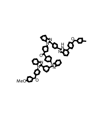 COc1ccc(C(=O)c2ccc(-n3c(-c4cccc(-c5nc6ccccc6n5-c5ccc(C(=O)c6ccc(-n7c(-c8ccc(-c9nc%10cccc(-c%11ccc(C(=O)c%12ccc(C)cc%12)cc%11)c%10[nH]9)cc8)nc8ccccc87)cc6)cc5)c4)nc4ccccc43)cc2)cc1